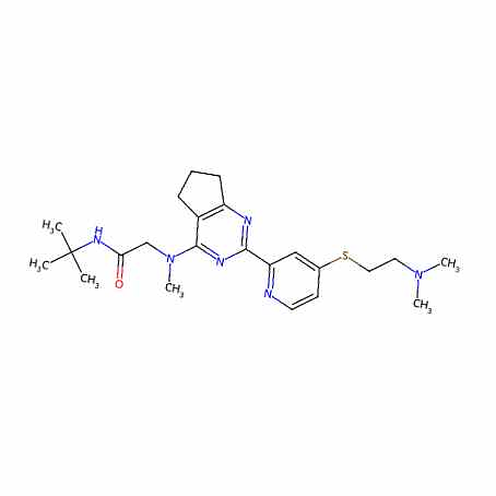 CN(C)CCSc1ccnc(-c2nc3c(c(N(C)CC(=O)NC(C)(C)C)n2)CCC3)c1